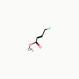 COC(=O)C=CCF